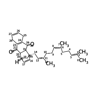 CC(C)=CCCC(C)=CCCC(C)=CC[C@]12C=C[C@H](C1)C1C(=O)C3=C(CC=CC3)C(=O)C12